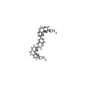 Cc1ccc2ccc3ccc(-c4ccc5ccc(-c6ccc7ccc8ccc(C)nc8c7n6)cc5c4)nc3c2n1